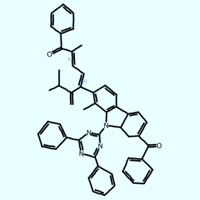 C=C(/C(=C\C=C(/C)C(=O)c1ccccc1)c1ccc2c(c1C)N(c1nc(-c3ccccc3)nc(-c3ccccc3)n1)C1CC(C(=O)c3ccccc3)=CC=C21)C(C)C